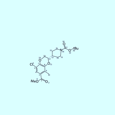 COC(=O)c1cc(Cl)c2c(c1C)O[C@@H](C1CCN(C(=O)OC(C)(C)C)CC1)CO2